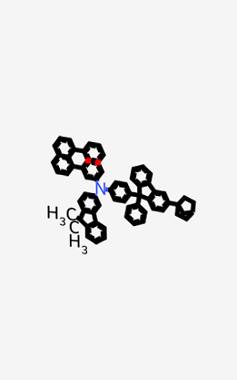 CC1(C)c2ccccc2-c2cc(N(c3ccc(C4(c5ccccc5)c5ccccc5-c5cc(C67CCC(CC6)C7)ccc54)cc3)c3cccc(-c4cccc5cccc(-c6ccccc6)c45)c3)ccc21